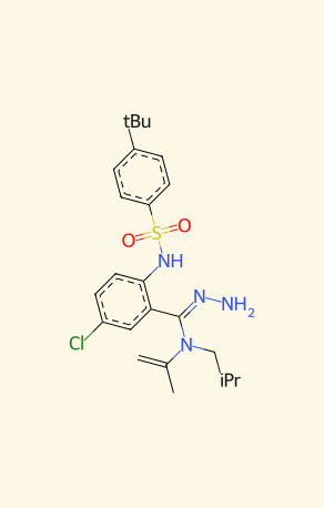 C=C(C)N(CC(C)C)/C(=N\N)c1cc(Cl)ccc1NS(=O)(=O)c1ccc(C(C)(C)C)cc1